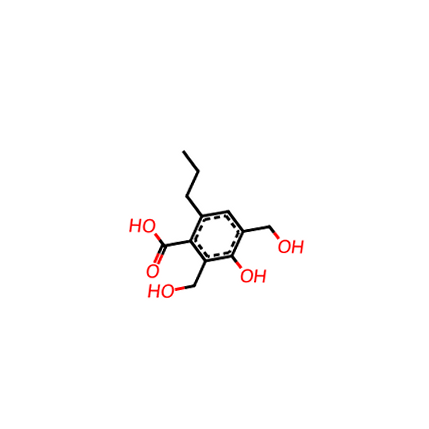 CCCc1cc(CO)c(O)c(CO)c1C(=O)O